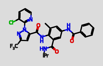 Cc1cc(NC(=O)c2ccccc2)cc(C(=O)NC(C)C)c1NC(=O)c1cc(C(F)(F)F)nn1-c1ncccc1Cl